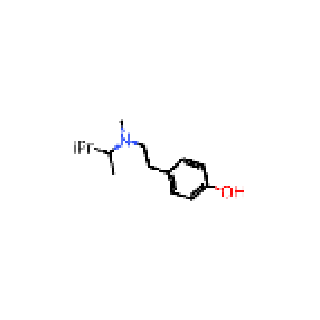 CC(C)C(C)N(C)CCc1ccc(O)cc1